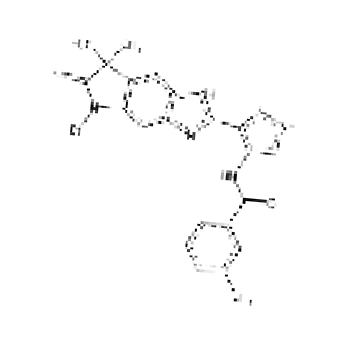 CCN1C(=O)C(C)(C)c2cc3[nH]c(-c4n[nH]cc4NC(=O)c4cccc(C)c4)nc3cc21